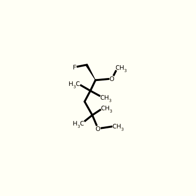 CO[C@H](CF)C(C)(C)CC(C)(C)OC